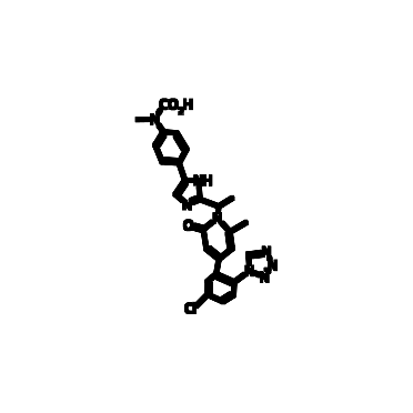 Cc1cc(-c2cc(Cl)ccc2-n2cnnn2)cc(=O)n1C(C)c1ncc(-c2ccc(N(C)C(=O)O)cc2)[nH]1